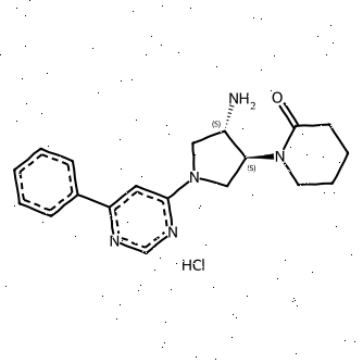 Cl.N[C@H]1CN(c2cc(-c3ccccc3)ncn2)C[C@@H]1N1CCCCC1=O